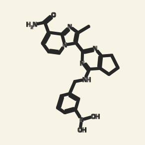 Cc1nc2c(C(N)=O)cccn2c1-c1nc2c(c(NCc3cccc(B(O)O)c3)n1)CCC2